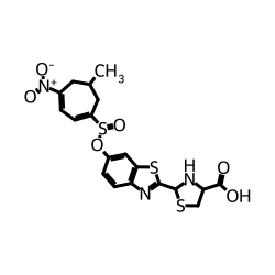 CC1CC([N+](=O)[O-])=CC=C(S(=O)Oc2ccc3nc(C4NC(C(=O)O)CS4)sc3c2)C1